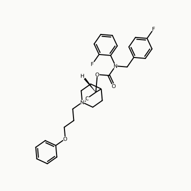 O=C(O[C@H]1C[N+]2(CCCOc3ccccc3)CCC1CC2)N(Cc1ccc(F)cc1)c1ccccc1F